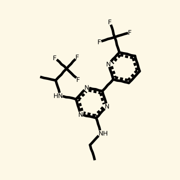 CCNc1nc(NC(C)C(F)(F)F)nc(-c2cccc(C(F)(F)F)n2)n1